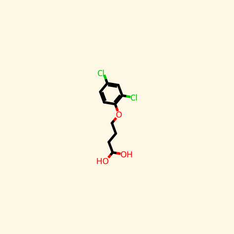 OC(O)CCCOc1ccc(Cl)cc1Cl